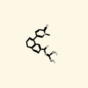 Cn1cc(C2=CCCc3ccc(C(=O)N=C(N)N)cc32)ccc1=O